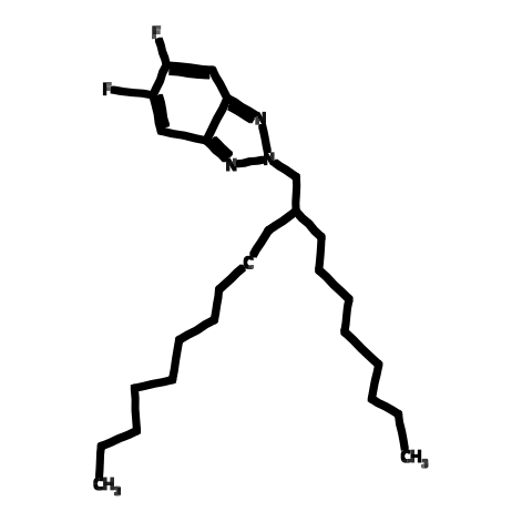 CCCCCCCCCCC(CCCCCCCC)Cn1nc2cc(F)c(F)cc2n1